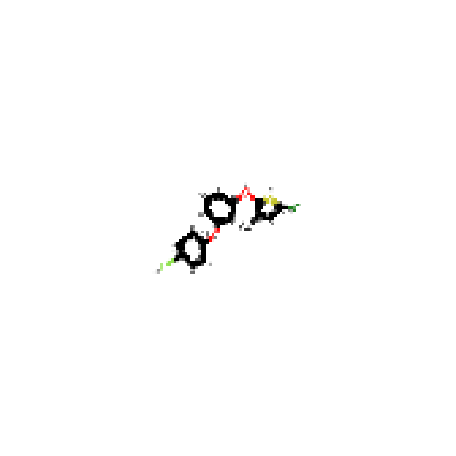 CC(=O)c1cc(Cl)sc1Oc1cccc(Oc2ccc(F)cc2)c1